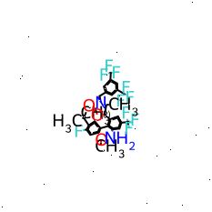 COc1cc(F)c(C(C)C)cc1-c1c(N)cc(C(F)(F)F)cc1[C@H]1OC(=O)N(Cc2cc(C(F)(F)F)cc(C(F)(F)F)c2)C1C